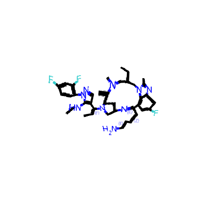 C=C1C2CC(CN2/C(=C/C)c2cnn(-c3ccc(F)cc3F)c2NCC)\N=C(/C=C\C=C\N)c2cc(F)cc3nc(C)n(c23)CC(CC)CN1C